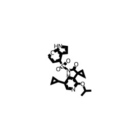 CC(C)Oc1ncc(C2CC2)cc1C1(C(=O)NS(=O)(=O)c2cccc3[nH]ccc23)CC1